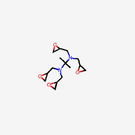 CC(C)(N(CC1CO1)CC1CO1)N(CC1CO1)CC1CO1